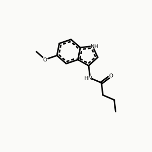 CCCC(=O)Nc1c[nH]c2ccc(OC)cc12